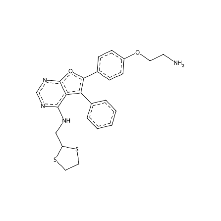 NCCOc1ccc(-c2oc3ncnc(NCC4SCCS4)c3c2-c2ccccc2)cc1